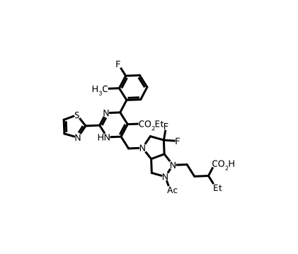 CCOC(=O)C1=C(CN2CC(F)(F)C3C2CN(C(C)=O)N3CCC(CC)C(=O)O)NC(c2nccs2)=NC1c1cccc(F)c1C